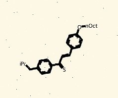 CCCCCCCCOc1ccc(C=CC(=S)c2ccc(CC(C)C)cc2)cc1